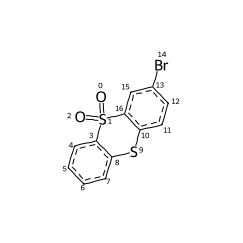 O=S1(=O)c2ccccc2Sc2ccc(Br)cc21